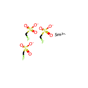 O=S(=O)([O-])CF.O=S(=O)([O-])CF.O=S(=O)([O-])CF.[Sm+3]